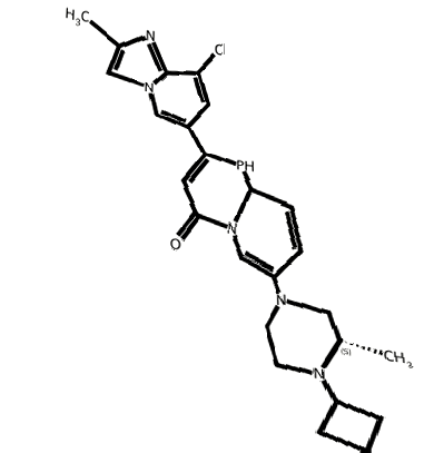 Cc1cn2cc(C3=CC(=O)N4C=C(N5CCN(C6CCC6)[C@@H](C)C5)C=CC4P3)cc(Cl)c2n1